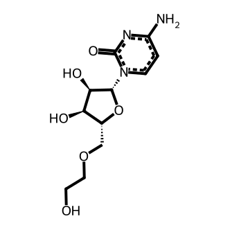 Nc1ccn([C@@H]2O[C@H](COCCO)[C@@H](O)[C@H]2O)c(=O)n1